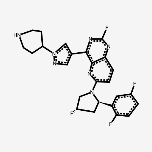 Fc1ccc(F)c([C@H]2C[C@H](F)CN2c2ccc3nc(F)nc(-c4cnn(C5CCNCC5)c4)c3n2)c1